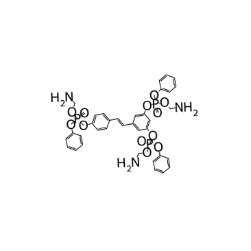 NCOP(=O)(Oc1ccccc1)Oc1ccc(/C=C/c2cc(OP(=O)(OCN)Oc3ccccc3)cc(OP(=O)(OCN)Oc3ccccc3)c2)cc1